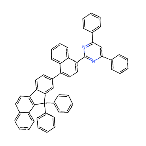 c1ccc(-c2cc(-c3ccccc3)nc(-c3ccc(-c4ccc5c(c4)C(c4ccccc4)(c4ccccc4)c4c-5ccc5ccccc45)c4ccccc34)n2)cc1